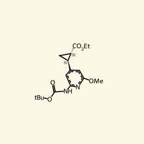 CCOC(=O)[C@H]1C[C@@H]1c1cc(NC(=O)OC(C)(C)C)nc(OC)c1